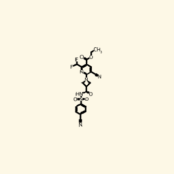 CCOC(=O)c1cc(C#N)c(N2CC(C(=O)NS(=O)(=O)c3ccc(C#N)cc3)C2)nc1C(F)F